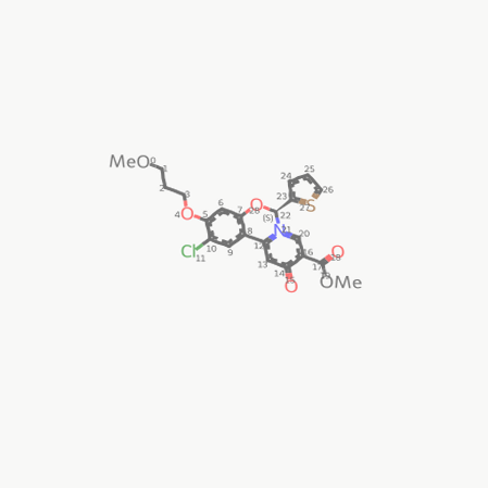 COCCCOc1cc2c(cc1Cl)-c1cc(=O)c(C(=O)OC)cn1[C@H](c1cccs1)O2